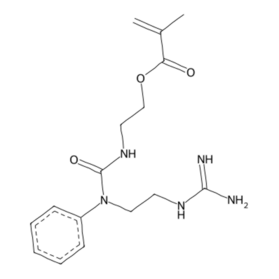 C=C(C)C(=O)OCCNC(=O)N(CCNC(=N)N)c1ccccc1